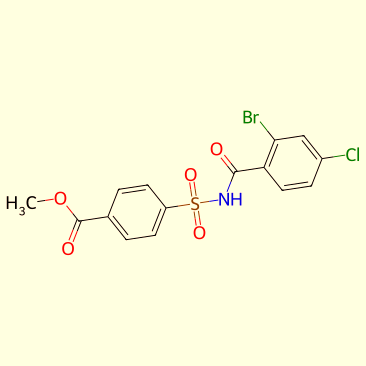 COC(=O)c1ccc(S(=O)(=O)NC(=O)c2ccc(Cl)cc2Br)cc1